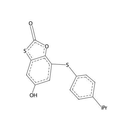 CC(C)c1ccc(Sc2cc(O)cc3sc(=O)oc23)cc1